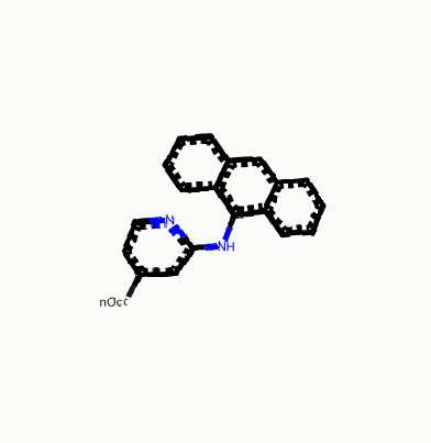 CCCCCCCCc1ccnc(Nc2c3ccccc3cc3ccccc23)c1